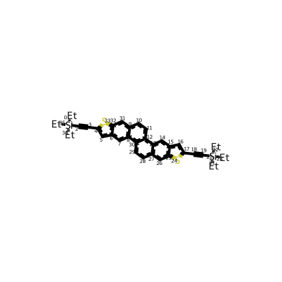 CC[Si](C#Cc1cc2cc3c(ccc4c5cc6cc(C#C[Si](CC)(CC)CC)sc6cc5ccc34)cc2s1)(CC)CC